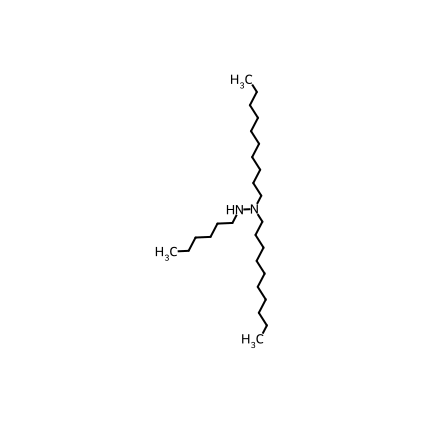 CCCCCCCCCCN(CCCCCCCCCC)NCCCCCC